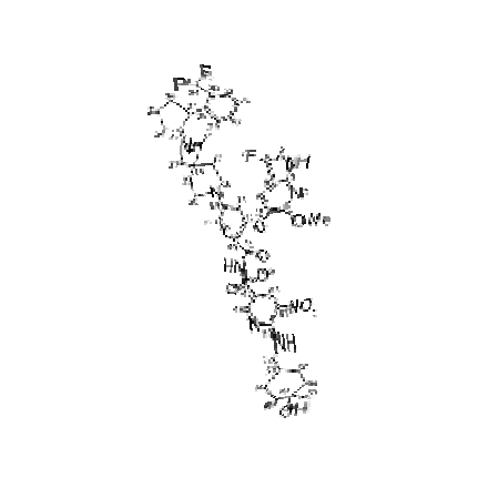 COc1nc2[nH]cc(F)c2cc1Oc1cc(N2CCC3(CC2)CN(C2CCCC2c2ccccc2C(F)F)C3)ccc1C(=O)NS(=O)(=O)c1cnc(NCC2CCC(C)(O)CC2)c([N+](=O)[O-])c1